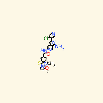 CN1C(=O)N(C)C2(CCC(=CC(=O)Nc3cc4cc(-c5cnccc5Cl)nc(N)c4cn3)CC2)C1=S